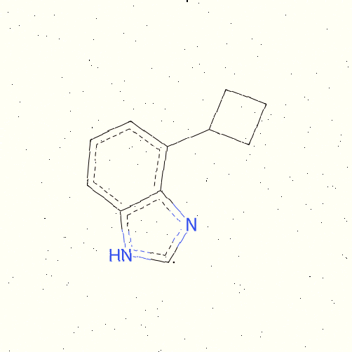 [c]1nc2c(C3CCC3)cccc2[nH]1